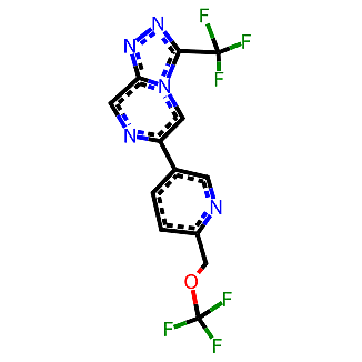 FC(F)(F)OCc1ccc(-c2cn3c(C(F)(F)F)nnc3cn2)cn1